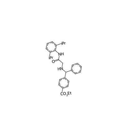 CCOC(=O)c1ccc(C(NCC(=O)Nc2c(C(C)C)cccc2C(C)C)c2ccccc2)cc1